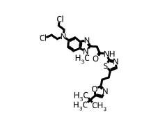 Cn1c(CC(=O)Nc2ncc(CCc3ncc(C(C)(C)C)o3)s2)nc2cc(N(CCCl)CCCl)ccc21